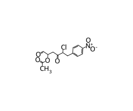 CC(=O)OC(C=O)CC(=O)C(Cl)Cc1ccc([N+](=O)[O-])cc1